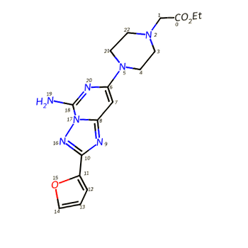 CCOC(=O)CN1CCN(c2cc3nc(-c4ccco4)nn3c(N)n2)CC1